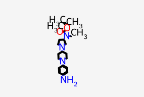 CCN(C(=O)OC(C)(C)C)C1CCN(C2CCN(c3ccc(N)cc3)CC2)C1